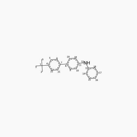 CC(C)(C)c1ccc(-c2ccc(Nc3ccccc3)cc2)cc1